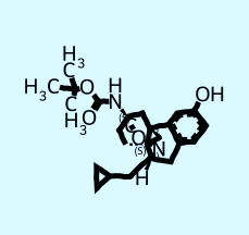 CC(C)(C)OC(=O)N[C@]12CC[C@@]3(OC1)[C@H]1Cc4ccc(O)cc4[C@@]3(CCN1CC1CC1)C2